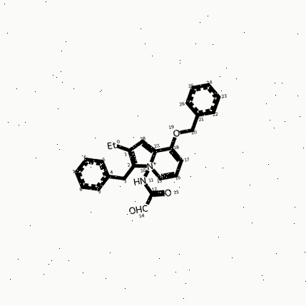 CCC1=C(Cc2ccccc2)[N+]2(NC(=O)C=O)C=CC=C(OCc3ccccc3)C2=C1